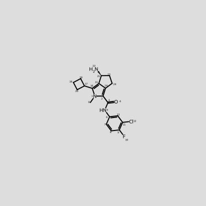 Cn1c(C(=O)Nc2ccc(F)c(Cl)c2)c2c(c1C1CCC1)[C@@H](N)CC2